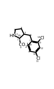 O=C(O)[C@H]1NCCC1Cc1ccc(Cl)cc1Cl